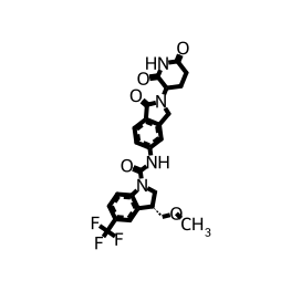 COC[C@H]1CN(C(=O)Nc2ccc3c(c2)CN(C2CCC(=O)NC2=O)C3=O)c2ccc(C(F)(F)F)cc21